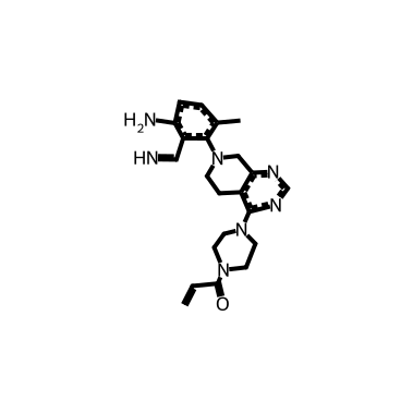 C=CC(=O)N1CCN(c2ncnc3c2CCN(c2c(C)ccc(N)c2C=N)C3)CC1